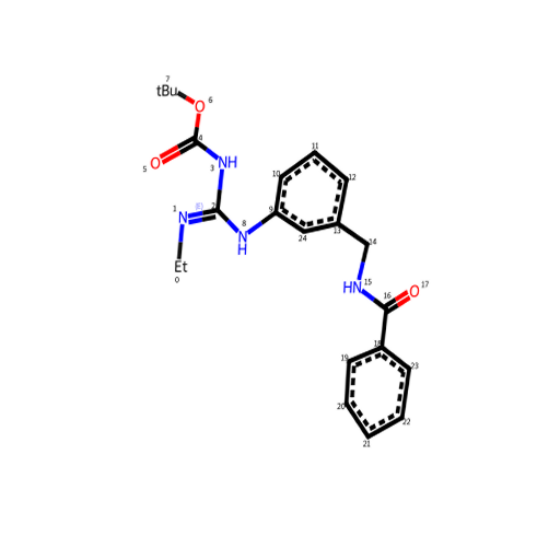 CC/N=C(/NC(=O)OC(C)(C)C)Nc1cccc(CNC(=O)c2ccccc2)c1